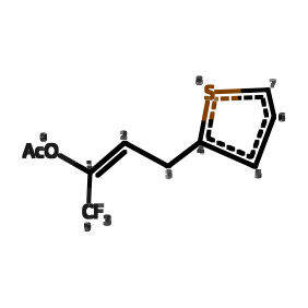 CC(=O)OC(=CCc1cccs1)C(F)(F)F